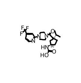 CC(C)[C@]1(C(=O)N2CCN(c3cc(C(F)(F)F)ccn3)CC2)CC[C@@H](NC(=O)O)C1